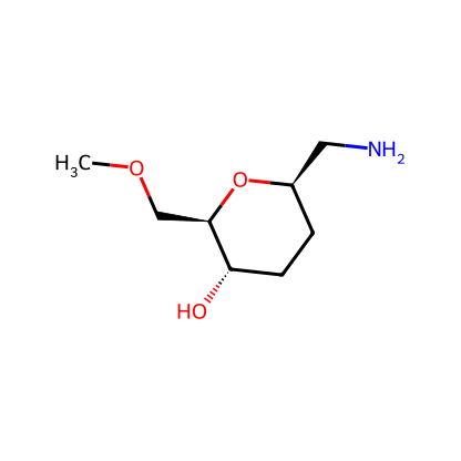 COC[C@H]1O[C@@H](CN)CC[C@@H]1O